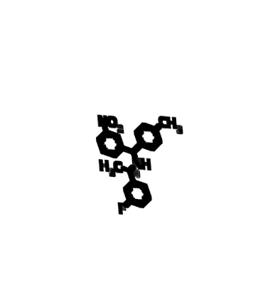 Cc1ccc(C(N[C@H](C)c2cccc(F)c2)c2cccc([N+](=O)[O-])c2)cc1